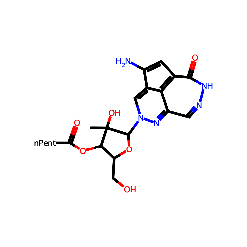 CCCCCC(=O)OC1C(CO)OC(n2cc3c(N)cc4c(=O)[nH]ncc(n2)c34)C1(C)O